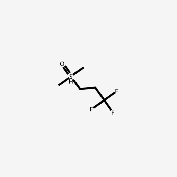 C[SH](C)(=O)CCC(F)(F)F